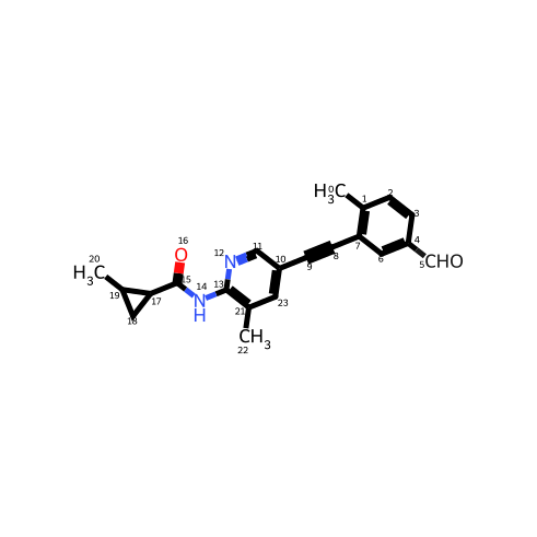 Cc1ccc(C=O)cc1C#Cc1cnc(NC(=O)C2CC2C)c(C)c1